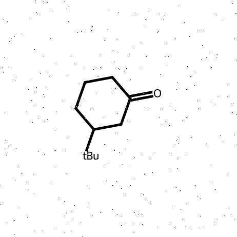 CC(C)(C)C1CCCC(=O)C1